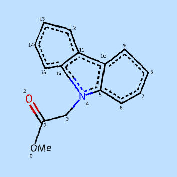 COC(=O)Cn1c2ccccc2c2ccccc21